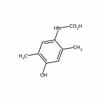 Cc1cc(NC(=O)O)c(C)cc1O